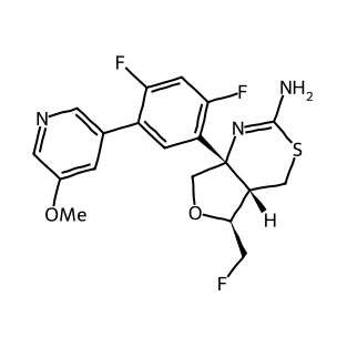 COc1cncc(-c2cc([C@]34CO[C@H](CF)[C@H]3CSC(N)=N4)c(F)cc2F)c1